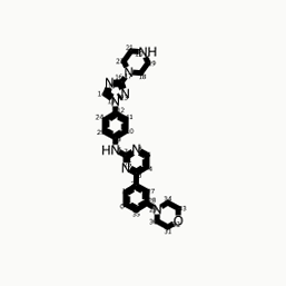 c1cc(-c2ccnc(Nc3ccc(-n4cnc(N5CCNCC5)n4)cc3)n2)cc(N2CCOCC2)c1